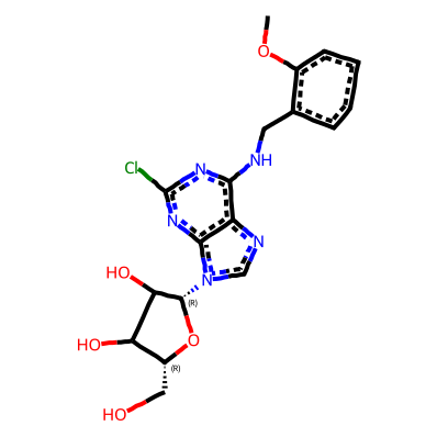 COc1ccccc1CNc1nc(Cl)nc2c1ncn2[C@@H]1O[C@H](CO)C(O)C1O